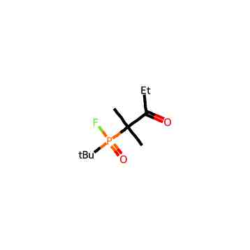 CCC(=O)C(C)(C)P(=O)(F)C(C)(C)C